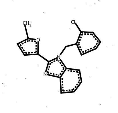 Cc1ccc(-c2nc3ccccc3n2Cc2ccccc2Cl)o1